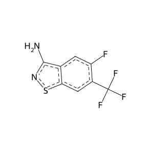 Nc1nsc2cc(C(F)(F)F)c(F)cc12